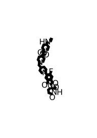 C=CNC1CCN(S(=O)(=O)C2CCN(CC3CCN(c4cc5c(cc4F)C(=O)N(C4CCC(=O)NC4=O)C5=O)CC3)CC2)CC1